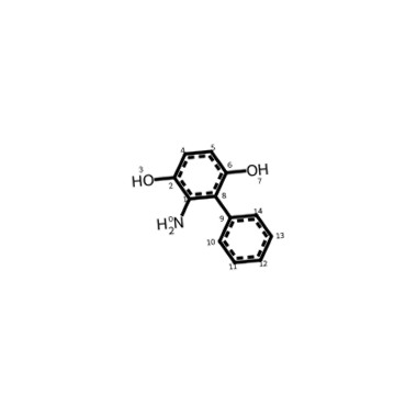 Nc1c(O)ccc(O)c1-c1ccccc1